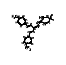 CC1(C)C=N/C(=N\N=C(/C=C/c2ccc(C(F)(F)F)cc2)/C=C/c2ccc(C(F)(F)F)cc2)NC1